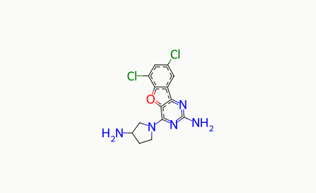 Nc1nc(N2CCC(N)C2)c2oc3c(Cl)cc(Cl)cc3c2n1